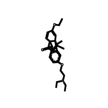 CCOC1=CC23C=COC2(C=C1)C(=O)c1ccc(OCCN(CC)CC)cc1C3(C)C